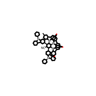 Cc1ccc2c(c1)c1cc(C)ccc1n2-c1c(-c2ccc3c(c2)c2ccccc2n3-c2ccccc2)c(C#N)c(-c2ccc3c(c2)c2ccccc2n3-c2ccccc2)c(-n2c3ccc(C)cc3c3cc(C)ccc32)c1-n1c2ccc(C)cc2c2cc(C)ccc21